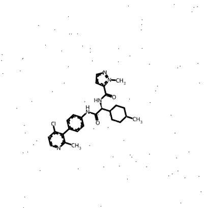 Cc1nccc(Cl)c1-c1ccc(NC(=O)[C@@H](NC(=O)c2ccnn2C)C2CCC(C)CC2)cc1